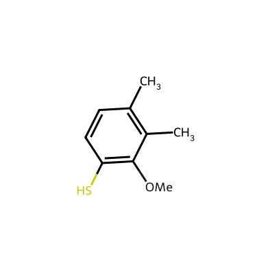 COc1c(S)ccc(C)c1C